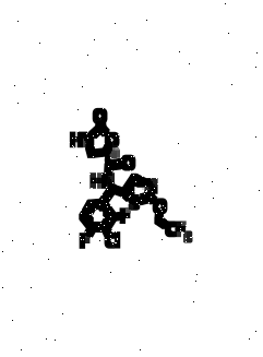 O=C1NC[C@@H](C(=O)NC(c2cnc(OCC(F)(F)F)s2)c2ccc(F)c(Cl)c2F)O1